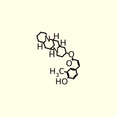 Cc1cc(/C=C\C(=O)OC2CCN3[C@@H]4C[C@@H](C[C@@H]3C2)N2CCCC[C@@H]2C4)ccc1O